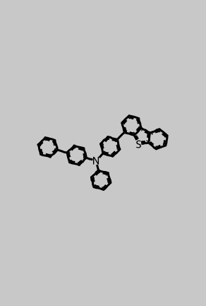 c1ccc(-c2ccc(N(c3ccccc3)c3ccc(-c4cccc5c4sc4ccccc45)cc3)cc2)cc1